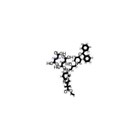 CCOC(=O)C(C)(C)c1cn2nc(NCC(O)CN3CCC(OC(c4ccccc4)c4ccccc4)CC3)ccc2n1.O=C(O)/C=C/C(=O)O.O=C(O)/C=C/C(=O)O